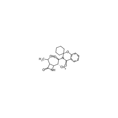 CC(O)C1C(=O)NC1[C@@H](C)C(=O)N1C(=O)c2ccccc2OC12CCCCC2